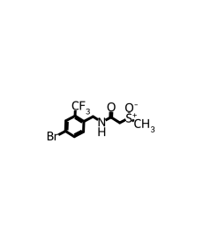 C[S+]([O-])CC(=O)NCc1ccc(Br)cc1C(F)(F)F